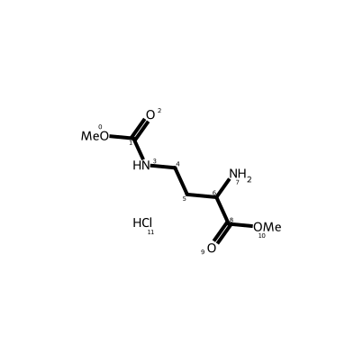 COC(=O)NCCC(N)C(=O)OC.Cl